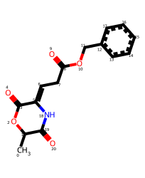 CC1OC(=O)C(=CCC(=O)OCc2ccccc2)NC1=O